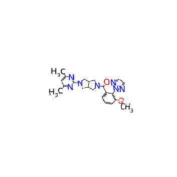 COc1cccc(C(=O)N2CC3CN(c4nc(C)cc(C)n4)CC3C2)c1-n1nccn1